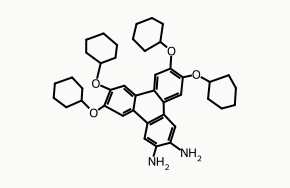 Nc1cc2c(cc1N)c1cc(OC3CCCCC3)c(OC3CCCCC3)cc1c1cc(OC3CCCCC3)c(OC3CCCCC3)cc21